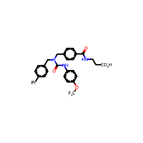 CC(C)c1ccc(CN(Cc2ccc(C(=O)NCCC(=O)O)cc2)C(=O)Nc2ccc(OC(F)(F)F)cc2)cc1